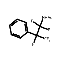 CC(=O)NC(F)(F)C(F)(c1ccccc1)C(F)(F)F